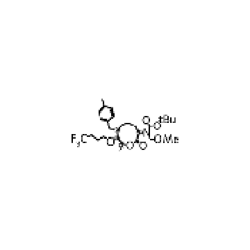 COCN(C(=O)OC(C)(C)C)[C@H]1CCC[C@H](Cc2ccc(C)cc2)[C@@H](OCCCC(F)(F)F)[C@H](C)OC1=O